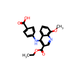 CCOC(=O)c1cnc2c(OC)cccc2c1Nc1ccc(C(=O)O)cc1